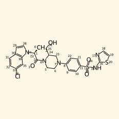 C[C@@H](C(=O)N1CCN(c2ccc(S(=O)(=O)Nc3nccs3)cc2)CC1CO)n1ccc2ccc(Cl)cc21